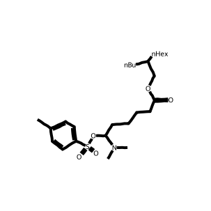 CCCCCCC(CCCC)COC(=O)CCCCC(OS(=O)(=O)c1ccc(C)cc1)N(C)C